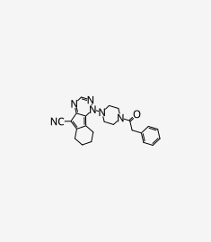 N#Cc1c2ncnn(N3CCN(C(=O)Cc4ccccc4)CC3)c-2c2c1CCCC2